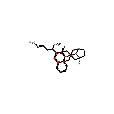 CO/N=C/CC(C(=O)O)c1nc2ccccc2n(C2CC3CC[C@H](C2)N3C2CC3CCCC(C3)C2)c1=O